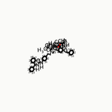 CC(C)(C)OC(=O)N(CCc1ccc(NC(=O)NC(c2ccccc2)c2ccccc2)cc1)C[C@H](O[Si](C)(C)C(C)(C)C)c1ccc(OCc2ccccc2)c2[nH]c(=O)ccc12